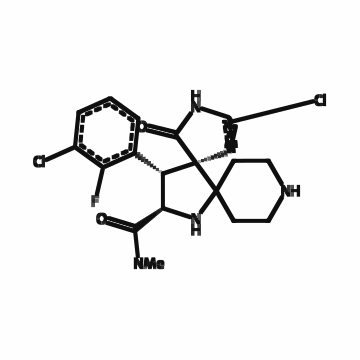 CNC(=O)[C@@H]1NC2(CCNCC2)[C@]2(C(=O)Nc3cc(Cl)ccc32)[C@H]1c1cccc(Cl)c1F